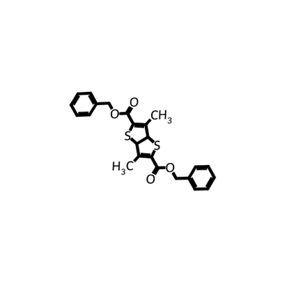 CC1=C(C(=O)OCc2ccccc2)SC2C(C)=C(C(=O)OCc3ccccc3)SC12